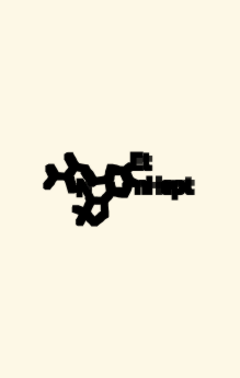 C=C(C)C1=CN2C(=CC1=C)c1cc(CC)c(CCCCCCC)cc1C1CCC(C)(C)C12